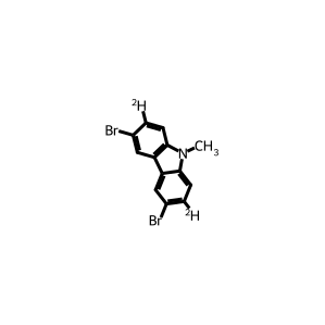 [2H]c1cc2c(cc1Br)c1cc(Br)c([2H])cc1n2C